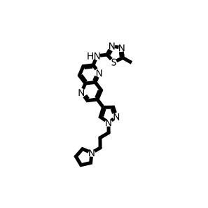 Cc1nnc(Nc2ccc3ncc(-c4cnn(CCCN5CCCC5)c4)cc3n2)s1